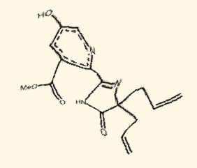 C=CCC1(CC=C)N=C(c2ncc(O)cc2C(=O)OC)NC1=O